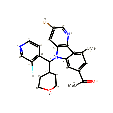 COC(=O)c1cc(OC)c2c3ncc(Br)cc3n(C(c3ccncc3F)C3CCOCC3)c2c1